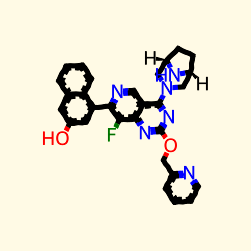 Oc1cc(-c2ncc3c(N4C[C@H]5CC[C@@H](C4)N5)nc(OCc4ccccn4)nc3c2F)c2ccccc2c1